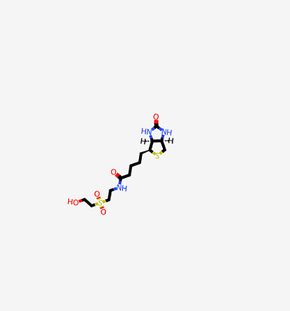 O=C(CCCC[C@@H]1SC[C@@H]2NC(=O)N[C@@H]21)NCCS(=O)(=O)CCO